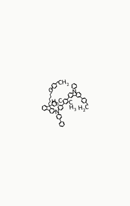 C=Cc1ccc(OCCCCCCC2(c3ccccc3)c3ccccc3-c3ccc(N(c4ccc(-c5ccccc5)cc4)c4ccc(-c5cc(C)c(-c6ccc7c(c6)c6cc(-c8ccc(C=C)cc8)ccc6n7-c6ccccc6)cc5C)cc4)cc32)cc1